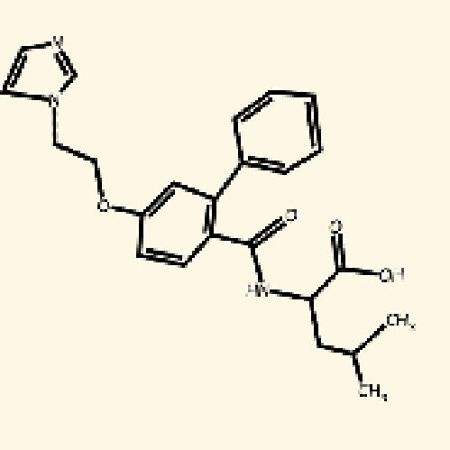 CC(C)CC(NC(=O)c1ccc(OCCn2ccnc2)cc1-c1ccccc1)C(=O)O